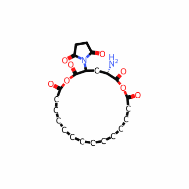 N[C@H]1CC(N2C(=O)CCC2=O)C(=O)OC(=O)CCCCCCCCCCCCC(=O)OC1=O